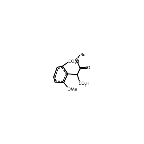 CCC(C)OC(=O)C(C(=O)O)c1c(OC)cccc1C(=O)O